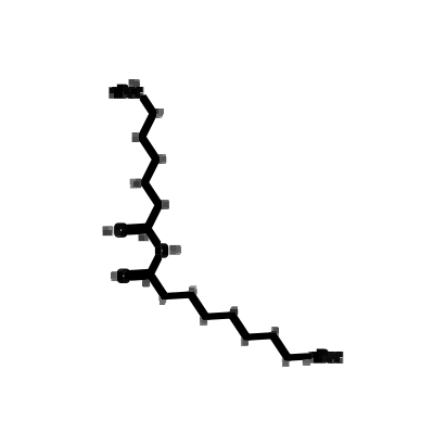 CCCCCCCCCCCCCCCCCC(=O)OC(=O)CCCCCCCCCCCCCCC